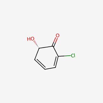 O=C1C(Cl)=CC=C[C@@H]1O